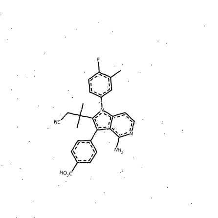 Cc1cc(-n2c(C(C)(C)CC#N)c(-c3ccc(C(=O)O)cc3)c3c(N)nccc32)ccc1F